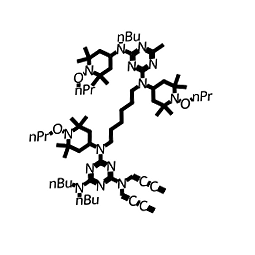 C=C=C=CN(C=C=C=C)c1nc(N(CCCC)CCCC)nc(N(CCCCCCN(c2nc(C)nc(N(CCCC)C3CC(C)(C)N(OCCC)C(C)(C)C3)n2)C2CC(C)(C)N(OCCC)C(C)(C)C2)C2CC(C)(C)N(OCCC)C(C)(C)C2)n1